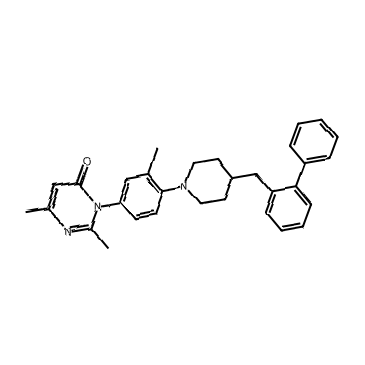 Cc1cc(=O)n(-c2ccc(N3CCC(Cc4ccccc4-c4ccccc4)CC3)c(C)c2)c(C)n1